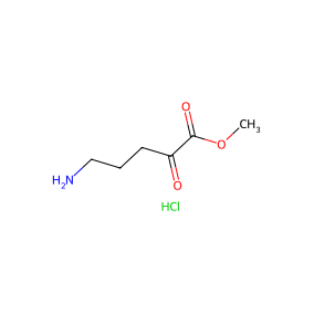 COC(=O)C(=O)CCCN.Cl